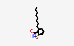 CCCCCCCCc1cccc2s[nH]c(=O)c12